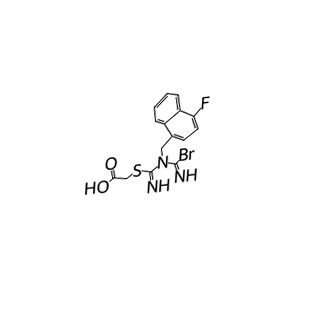 N=C(Br)N(Cc1ccc(F)c2ccccc12)C(=N)SCC(=O)O